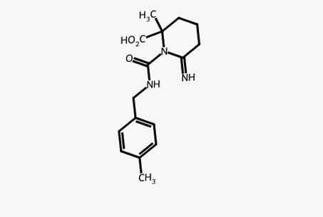 Cc1ccc(CNC(=O)N2C(=N)CCCC2(C)C(=O)O)cc1